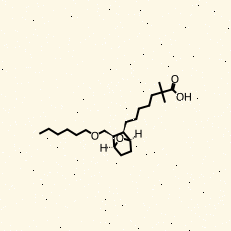 CCCCCCOC[C@H]1[C@@H](CCCCCC(C)(C)C(=O)O)[C@H]2CC[C@@H]1O2